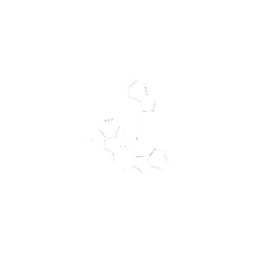 CC[C](CC)(CCC1C=Cc2ccccc21)[Zr+2]1[CH]2C(=Cc3ccccc32)CCC2=Cc3ccccc3[CH]21.[Cl-].[Cl-]